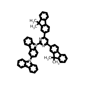 CC1(C)c2ccccc2-c2ccc(-c3cc(-c4ccc5c(c4)C(C)(C)c4ccccc4-5)nc(-n4c5ccccc5c5cc(-n6c7ccccc7c7ccccc76)ccc54)n3)cc21